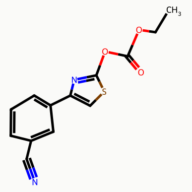 CCOC(=O)Oc1nc(-c2cccc(C#N)c2)cs1